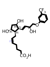 O=C(O)CCC/C=C\C[C@@H]1[C@H](C=C[C@@H](O)COc2cccc(C(F)(F)F)c2)[C@H](O)C[C@H]1O